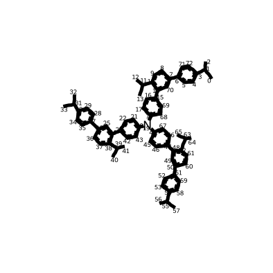 CC(C)c1ccc(-c2ccc(C(C)C)c(-c3ccc(N(c4ccc(-c5cc(-c6ccc(C(C)C)cc6)ccc5C(C)C)cc4)c4ccc(-c5cc(-c6ccc(C(C)C)cc6)ccc5C(C)C)cc4)cc3)c2)cc1